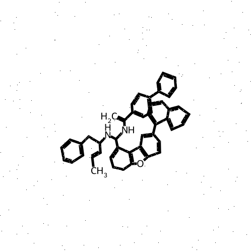 C=C(NC(NC(/C=C/C)Cc1ccccc1)C1=CCCc2oc3ccc(-c4cccc5ccccc45)cc3c21)c1ccc(-c2ccccc2)cc1